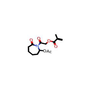 C=C(C)C(=O)OCC(=O)N1C(=O)CCCCC1OC(C)=O